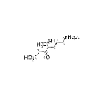 CCCCCCCCCCCC(=O)CC(=O)O.CN